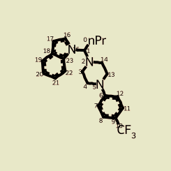 CCCC(N1CCN(c2ccc(C(F)(F)F)cc2)CC1)n1ccc2ccccc21